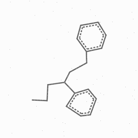 CCCC(CCc1cc[c]cc1)c1ccccc1